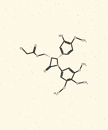 COc1ccc([C@H]2[C@@H](COC(=O)CCl)C(=O)N2c2cc(OC)c(OC)c(OC)c2)cc1O